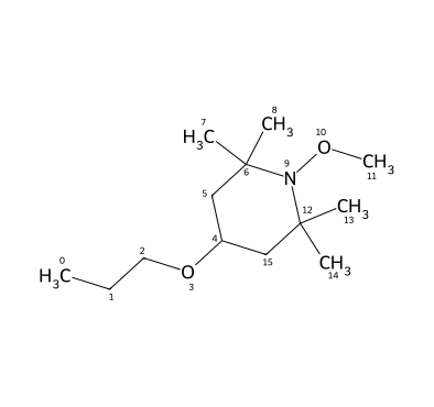 CCCOC1CC(C)(C)N(OC)C(C)(C)C1